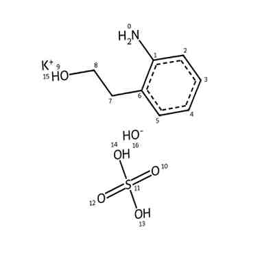 Nc1ccccc1CCO.O=S(=O)(O)O.[K+].[OH-]